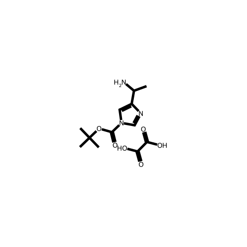 CC(N)c1cn(C(=O)OC(C)(C)C)cn1.O=C(O)C(=O)O